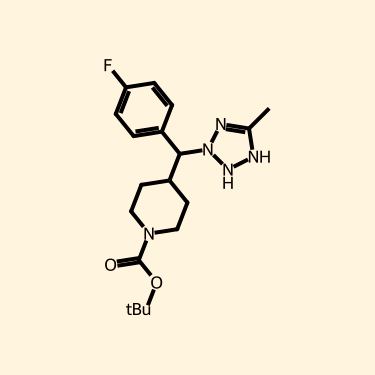 CC1=NN(C(c2ccc(F)cc2)C2CCN(C(=O)OC(C)(C)C)CC2)NN1